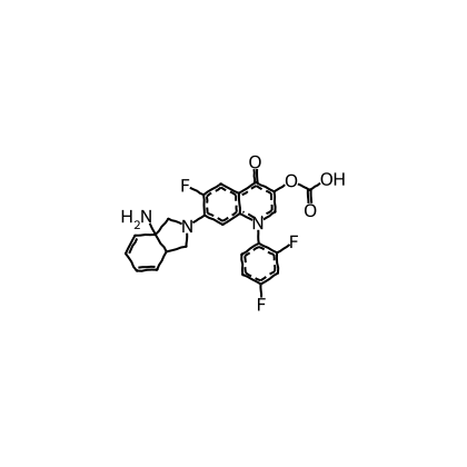 NC12C=CC=CC1CN(c1cc3c(cc1F)c(=O)c(OC(=O)O)cn3-c1ccc(F)cc1F)C2